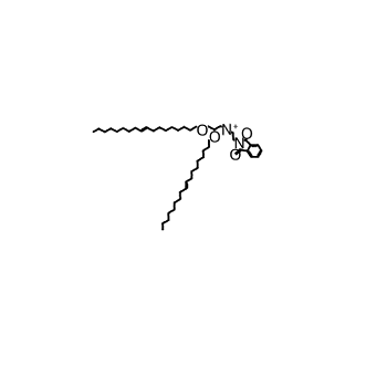 CCCCCCCCC=CCCCCCCCCOCC(C[N+](C)(C)CCN1C(=O)c2ccccc2C1=O)OCCCCCCCCC=CCCCCCCCC